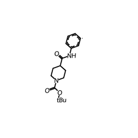 CC(C)(C)OC(=O)N1CCC(C(=O)Nc2c[c]ccc2)CC1